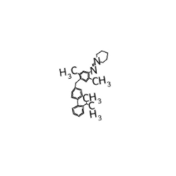 Cc1cc(N=CN2CCCCC2)c(C)cc1Cc1ccc(-c2ccccc2C(C)C)cc1